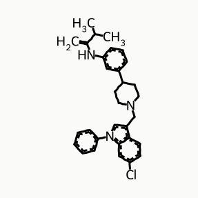 C=C(Nc1cccc(C2CCN(Cc3cn(-c4ccccc4)c4cc(Cl)ccc34)CC2)c1)C(C)C